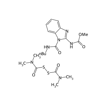 CCCCNC(=O)n1c(NC(=O)OC)nc2ccccc21.CN(C)C(=O)SSC(=O)N(C)C